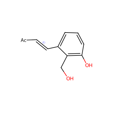 CC(=O)/C=C/c1cccc(O)c1CO